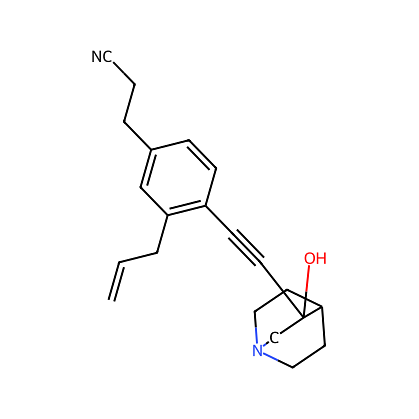 C=CCc1cc(CCC#N)ccc1C#CC1(O)CN2CCC1CC2